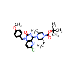 CC[C@@H]1CN(c2nc(=O)n(Cc3ccc(OC)cc3)c3ccc(Cl)nc23)[C@@H](C)CN1C(=O)OC(C)(C)C